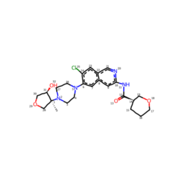 C[C@]1(N2CCN(c3cc4cc(NC(=O)[C@@H]5CCCOC5)ncc4cc3Cl)CC2)COC[C@H]1O